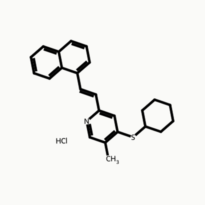 Cc1cnc(C=Cc2cccc3ccccc23)cc1SC1CCCCC1.Cl